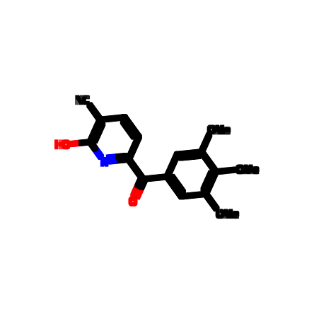 COc1cc(C(=O)c2ccc(C#N)c(O)n2)cc(OC)c1OC